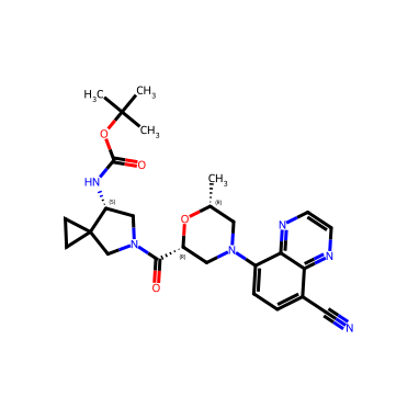 C[C@@H]1CN(c2ccc(C#N)c3nccnc23)C[C@H](C(=O)N2C[C@@H](NC(=O)OC(C)(C)C)C3(CC3)C2)O1